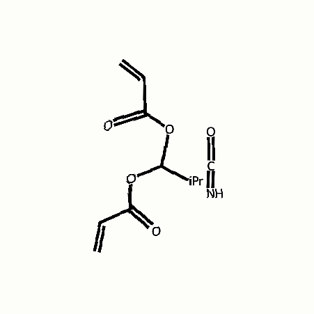 C=CC(=O)OC(OC(=O)C=C)C(C)C.N=C=O